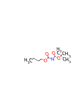 CCCCOC(=O)[N]C(=O)OC(C)(C)C